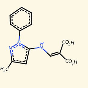 Cc1cc(NC=C(C(=O)O)C(=O)O)n(-c2ccccc2)n1